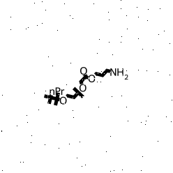 CCCC(C)(C)C(C)(C)OCCC(C)(C)OCC(=O)OCCCN